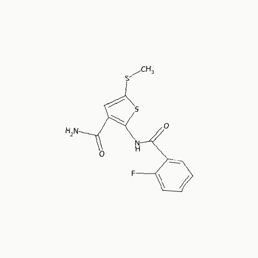 CSc1cc(C(N)=O)c(NC(=O)c2ccccc2F)s1